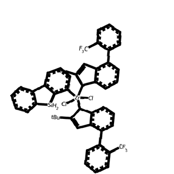 CC(C)(C)C1=Cc2c(-c3ccccc3C(F)(F)F)cccc2[CH]1[Zr]([Cl])([Cl])([c]1cccc2c1[SiH2]c1ccccc1-2)[CH]1C(C(C)(C)C)=Cc2c(-c3ccccc3C(F)(F)F)cccc21